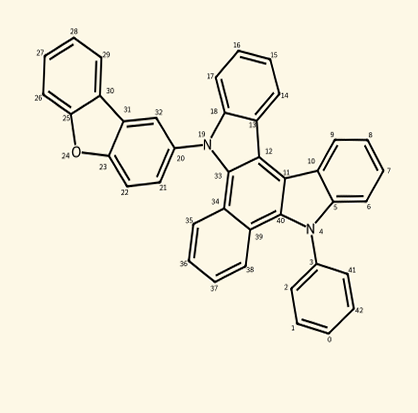 c1ccc(-n2c3ccccc3c3c4c5ccccc5n(-c5ccc6oc7ccccc7c6c5)c4c4ccccc4c32)cc1